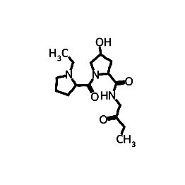 CCC(=O)CNC(=O)C1CC(O)CN1C(=O)C1CCCN1CC